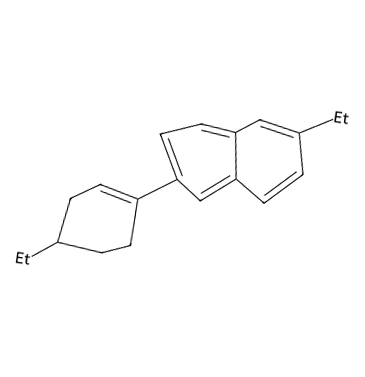 CCc1ccc2cc(C3=CCC(CC)CC3)ccc2c1